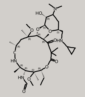 CC[C@H]1OC(=O)C(C)(C)C(=O)[C@H](C)[C@@H](O[C@@H]2O[C@H](CNC3CC3)CC(N(C)C)[C@H]2O)[C@](C)(OC)C[C@@H](C)CN[C@H](C)[C@@H](NC=O)[C@]1(C)OC